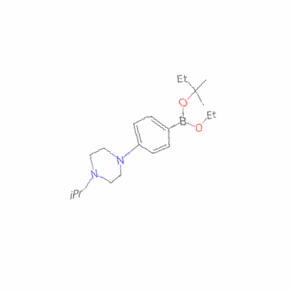 CCOB(OC(C)(C)CC)c1ccc(N2CCN(C(C)C)CC2)cc1